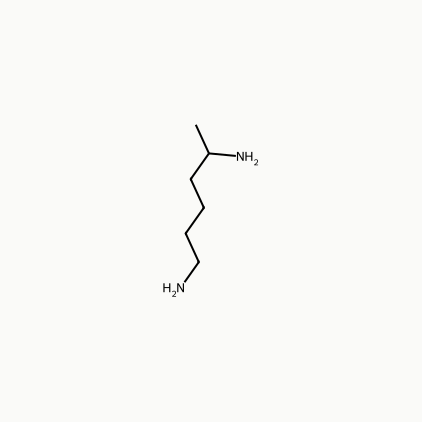 CC(N)CCCCN